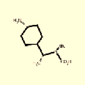 C[C@H]([C@H]1CC[C@H](N)CC1)N(C(=O)O)C(C)(C)C